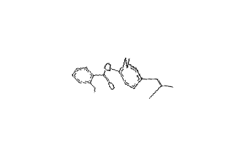 Cc1ccccc1C(=O)Oc1ccc(CC(C)C)cn1